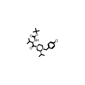 CC(C)[C@H](NC(=O)OC(C)(C)C)C(=O)N1CCN(Cc2ccc(Cl)cc2)[C@@H](C(C)C)C1